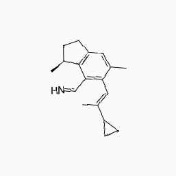 C/C(=C\c1c(C)cc2c(c1C=N)[C@@H](C)CC2)C1CC1